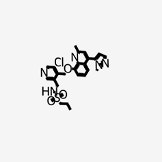 CCCS(=O)(=O)NCc1cncc(Cl)c1COc1cccc2c(-c3ccnn3C)cc(C)nc12